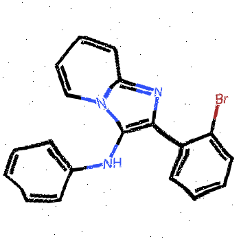 Brc1ccccc1-c1nc2ccccn2c1Nc1ccccc1